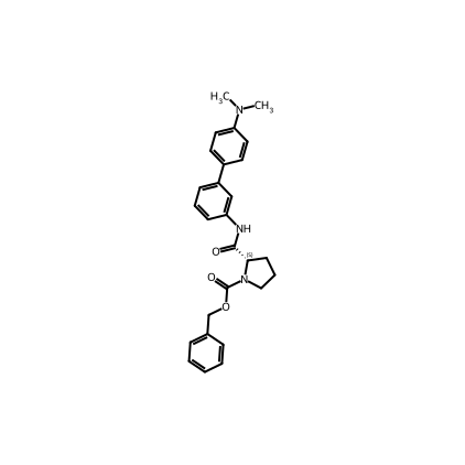 CN(C)c1ccc(-c2cccc(NC(=O)[C@@H]3CCCN3C(=O)OCc3ccccc3)c2)cc1